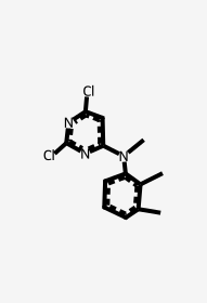 Cc1cccc(N(C)c2cc(Cl)nc(Cl)n2)c1C